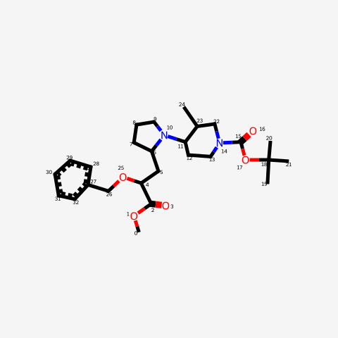 COC(=O)C(CC1CCCN1C1CCN(C(=O)OC(C)(C)C)CC1C)OCc1ccccc1